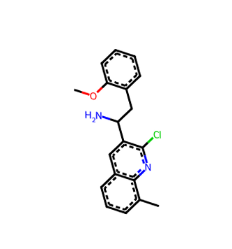 COc1ccccc1CC(N)c1cc2cccc(C)c2nc1Cl